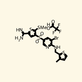 CSc1sc(C(=N)N)cc1S(=O)(=O)c1cnc(NCc2sccc2C)c(Br)c1.O=C(O)C(F)(F)F